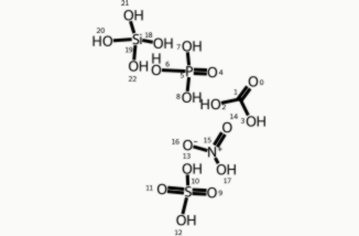 O=C(O)O.O=P(O)(O)O.O=S(=O)(O)O.O=[N+]([O-])O.O[Si](O)(O)O